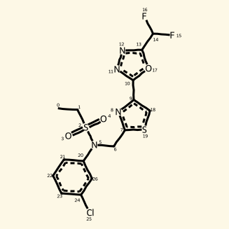 CCS(=O)(=O)N(Cc1nc(-c2nnc(C(F)F)o2)cs1)c1cccc(Cl)c1